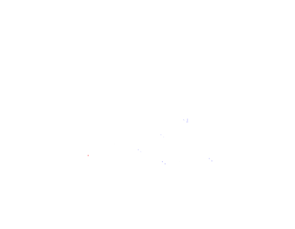 Cc1cc2c(B(O)O)cccc2n1-c1nc2c(c(NCc3cccc(F)c3)n1)C1CCCN1CC2